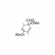 COC1=CCC(C=O)(OC)C=C1